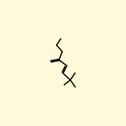 C=C(/C=C/C(C)(C)C)CCC